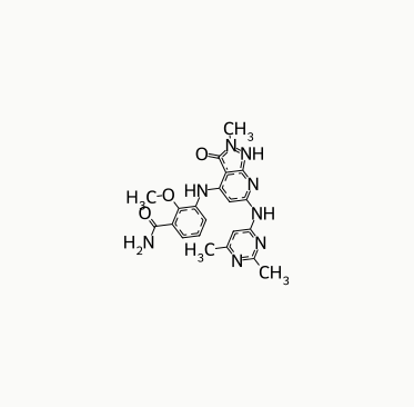 COc1c(Nc2cc(Nc3cc(C)nc(C)n3)nc3[nH]n(C)c(=O)c23)cccc1C(N)=O